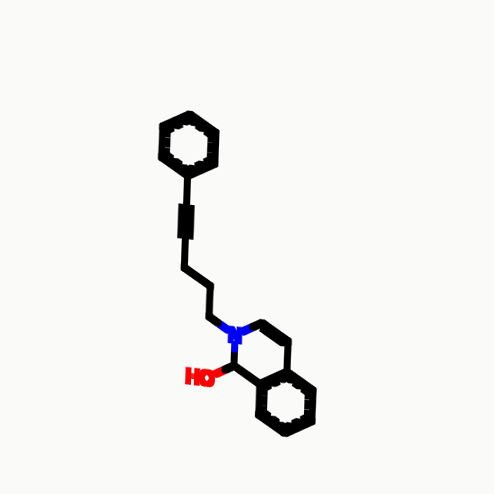 OC1c2ccccc2C=CN1CCCC#Cc1ccccc1